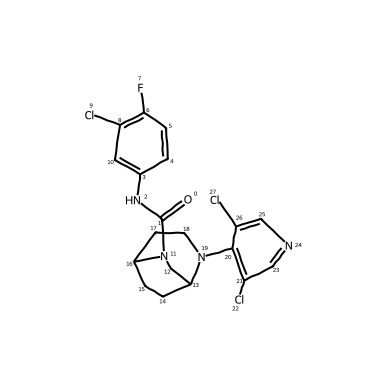 O=C(Nc1ccc(F)c(Cl)c1)N1CC2CCC1CCN2c1c(Cl)cncc1Cl